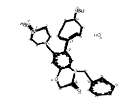 CCCCN1CCN(c2cc3c(cc2C2=CCC(C(C)(C)C)CC2)N(Cc2ccccc2)C(=O)CO3)CC1.Cl